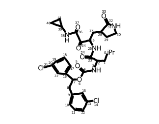 CC(C)CC(NC(=O)OC(Cc1cccc(Cl)c1)c1cccc(Cl)c1)C(=O)NC(CC1CCNC1=O)C(=O)C(=O)NC1CC1